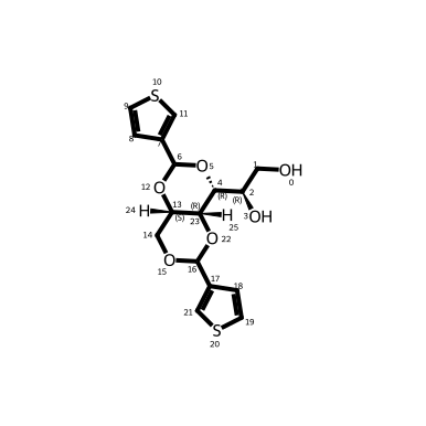 OC[C@@H](O)[C@H]1OC(c2ccsc2)O[C@H]2COC(c3ccsc3)O[C@@H]12